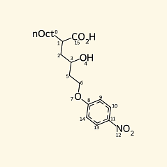 CCCCCCCCC(CC(O)CCOc1ccc([N+](=O)[O-])cc1)C(=O)O